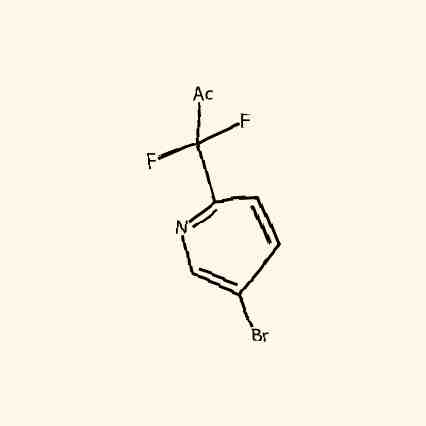 CC(=O)C(F)(F)c1ccc(Br)cn1